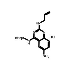 C=CCNc1nc(NCCCCCCC)c2cc([N+](=O)[O-])ccc2n1.Cl